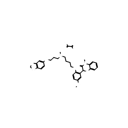 COc1ccc(OCCCCN(C)CCCOc2ccc3c(c2)OCO3)c(C2Sc3ccccc3N(C)C2=O)c1.O=C(O)C(=O)O